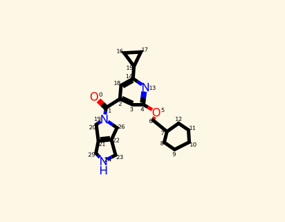 O=C(c1cc(OCC2CCCCC2)nc(C2CC2)c1)N1CC2=C(CNC2)C1